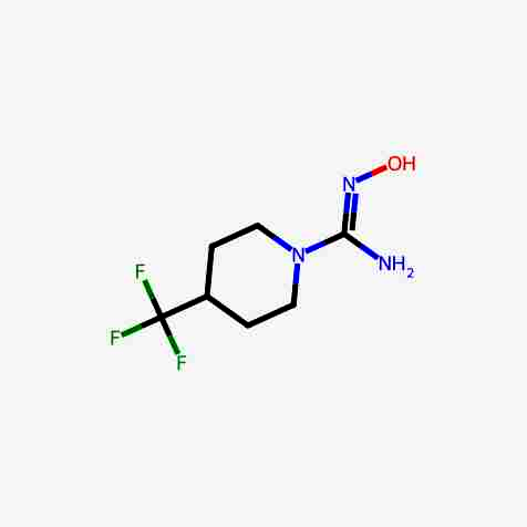 NC(=NO)N1CCC(C(F)(F)F)CC1